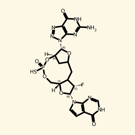 Nc1nc2c(nnn2[C@@H]2OC3CC4[C@@H](COP(=O)(S)O[C@@H]2C3)O[C@@H](n2ccc3c(=O)[nH]cnc32)[C@H]4F)c(=O)[nH]1